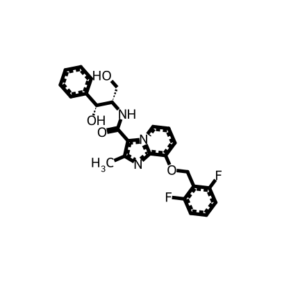 Cc1nc2c(OCc3c(F)cccc3F)cccn2c1C(=O)N[C@@H](CO)[C@H](O)c1ccccc1